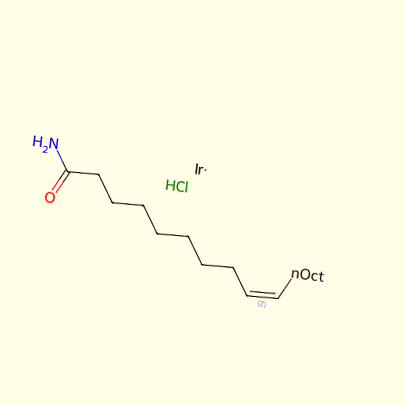 CCCCCCCC/C=C\CCCCCCCC(N)=O.Cl.[Ir]